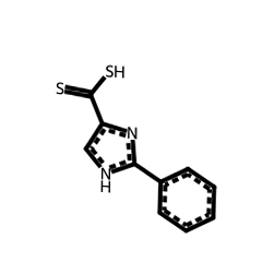 S=C(S)c1c[nH]c(-c2ccccc2)n1